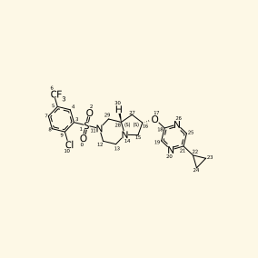 O=S(=O)(c1cc(C(F)(F)F)ccc1Cl)N1CCN2C[C@@H](Oc3cnc(C4CC4)cn3)C[C@H]2C1